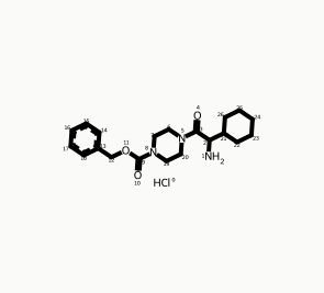 Cl.NC(C(=O)N1CCN(C(=O)OCc2ccccc2)CC1)C1CCCCC1